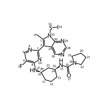 Cc1c(-c2ncc(F)c(N[C@@H]3CCC[C@H](NC(=O)N4CCCC4)C3)n2)c2cncnc2n1SI